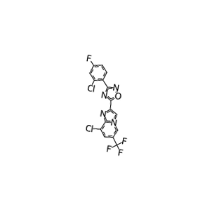 Fc1ccc(-c2noc(-c3cn4cc(C(F)(F)F)cc(Cl)c4n3)n2)c(Cl)c1